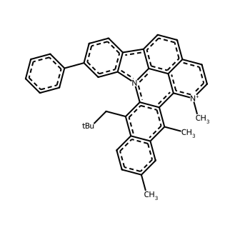 Cc1ccc2c(CC(C)(C)C)c3c(c(C)c2c1)c1c2c(ccc4c5ccc(-c6ccccc6)cc5n3c42)cc[n+]1C